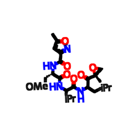 COC[C@H](NC(=O)c1cc(C)on1)C(=O)NC(C(=O)NC(CC(C)C)C(=O)[C@@]1(C)CO1)C(C)C